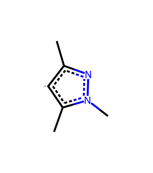 Cc1[c]c(C)n(C)n1